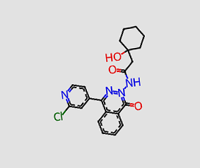 O=C(CC1(O)CCCCC1)Nn1nc(-c2ccnc(Cl)c2)c2ccccc2c1=O